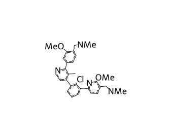 CNCc1ccc(-c2nccc(-c3cccc(-c4ccc(CNC)c(OC)n4)c3Cl)c2C)cc1OC